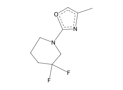 Cc1coc(N2CCCC(F)(F)C2)n1